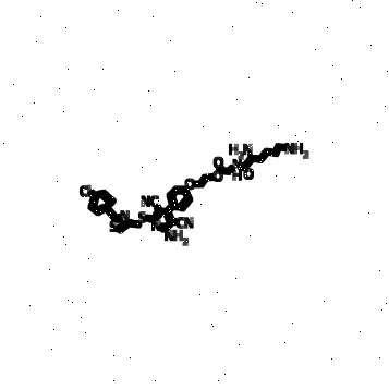 N#Cc1c(N)nc(SCc2csc(-c3ccc(Cl)cc3)n2)c(C#N)c1-c1ccc(OCCOC(=O)CNC(=O)[C@@H](N)CCCCN)cc1